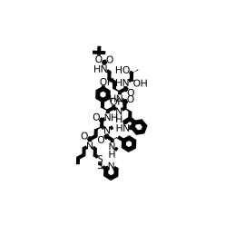 CCCCN(CCSSc1ccccn1)C(=O)CC[C@@H](C(=O)N[C@@H](Cc1ccc(O)cc1)C(O)N[C@H](Cc1c[nH]c2ccccc12)C(=O)N[C@@H](CCCCNC(=O)OC(C)(C)C)C(=O)N[C@H](O)[C@@H](C)O)N(C)C(=O)[C@H](Cc1ccccc1)NC